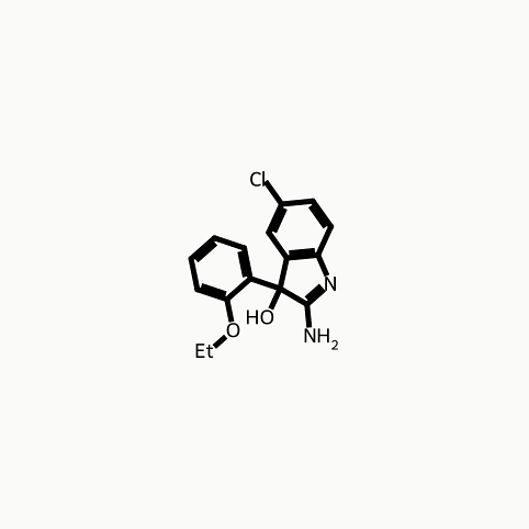 CCOc1ccccc1C1(O)C(N)=Nc2ccc(Cl)cc21